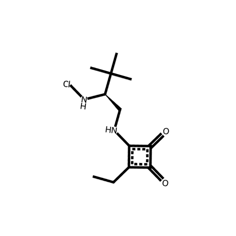 CCc1c(NC[C@@H](NCl)C(C)(C)C)c(=O)c1=O